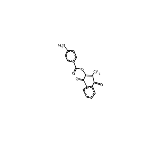 CC1=C(OC(=O)c2ccc(N)cc2)C(=O)c2ccccc2C1=O